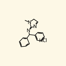 CN1CC=NC1=NC(c1ccccc1)c1ccccc1.Cl